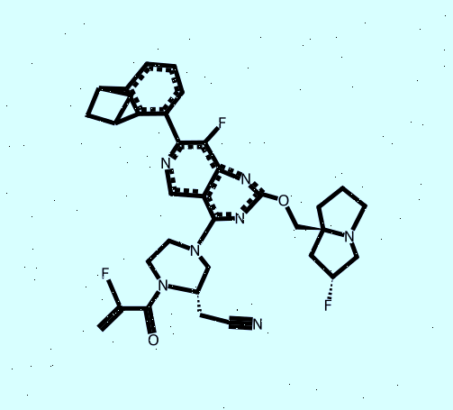 C=C(F)C(=O)N1CCN(c2nc(OC[C@@]34CCCN3C[C@H](F)C4)nc3c(F)c(-c4cccc5c4C4CC5C4)ncc23)C[C@@H]1CC#N